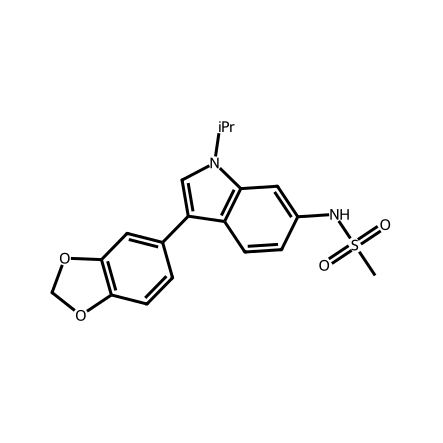 CC(C)n1cc(-c2ccc3c(c2)OCO3)c2ccc(NS(C)(=O)=O)cc21